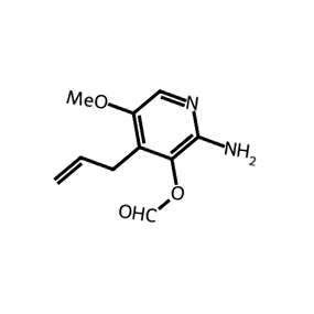 C=CCc1c(OC)cnc(N)c1OC=O